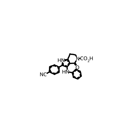 N#Cc1ccc(-c2[nH]c3c(c2Nc2ccccc2)C(=O)N(C(=O)O)CC3)cc1